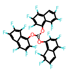 Fc1cc2c(F)c(F)c(F)c(OB(Oc3c(F)c(F)c(F)c4cc(F)c(F)c(F)c34)Oc3c(F)c(F)c(F)c4cc(F)c(F)c(F)c34)c2c(F)c1F